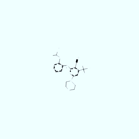 N#Cc1c(C(F)(F)F)cc(N2CCNCC2)nc1Nc1ccccc1SC(F)F